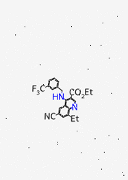 CCOC(=O)c1cnc2c(CC)cc(C#N)cc2c1NCc1cccc(C(F)(F)F)c1